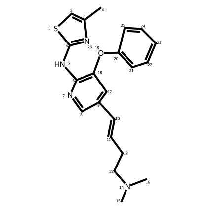 Cc1csc(Nc2ncc(/C=C/CCN(C)C)cc2Oc2ccccc2)n1